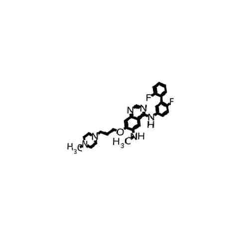 CNc1cc2c(Nc3ccc(F)c(-c4ccccc4F)c3)ncnc2cc1OCCCN1CCN(C)CC1